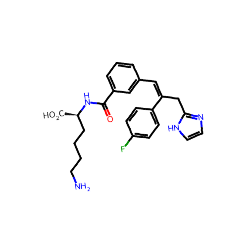 NCCCC[C@H](NC(=O)c1cccc(C=C(Cc2ncc[nH]2)c2ccc(F)cc2)c1)C(=O)O